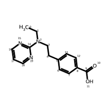 CCN(CCc1ccc(C(=O)O)cc1)c1ncccn1